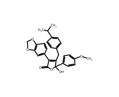 COc1ccc(C2(O)OC(=O)C(c3ccc4c(c3)OCO4)=C2Cc2ccc(C(C)C)cc2)cc1